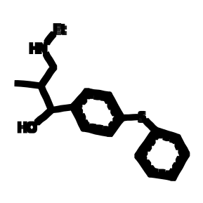 CCNCC(C)C(O)c1ccc(Sc2ccccc2)cc1